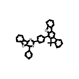 CC1(C)c2ccccc2-c2cc3c(oc4ccccc43)c(-c3ccc(-c4nc(-c5ccccc5)c5oc6ccccc6c5n4)cc3)c21